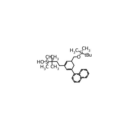 CC(C)(CCC1=CC(CO[Si](C)(C)C(C)(C)C)CC(c2cccc3ccccc23)=C1)[Si](C)(C)O